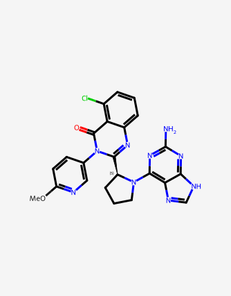 COc1ccc(-n2c([C@@H]3CCCN3c3nc(N)nc4[nH]cnc34)nc3cccc(Cl)c3c2=O)cn1